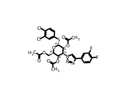 CC(=O)OC[C@H]1O[C@H](Sc2ccc(Cl)c(Cl)c2)[C@H](OC(C)=O)[C@@H](n2cc(-c3ccc(F)c(F)c3)nn2)[C@H]1OC(C)=O